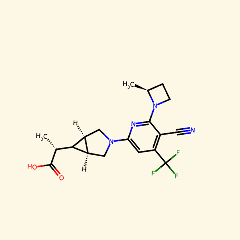 C[C@@H](C(=O)O)C1[C@H]2CN(c3cc(C(F)(F)F)c(C#N)c(N4CC[C@@H]4C)n3)C[C@@H]12